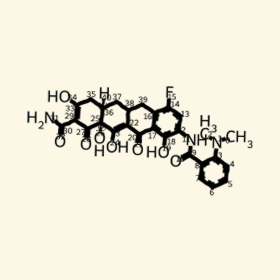 CN(C)c1ccccc1C(=O)Nc1cc(F)c2c(c1O)C(=O)C1=C(O)[C@]3(O)C(=O)C(C(N)=O)=C(O)C[C@@H]3CC1C2